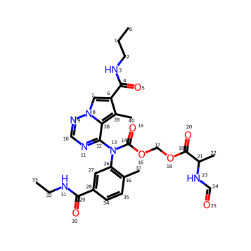 CCCNC(=O)c1cn2ncnc(N(C(=O)OCOC(=O)C(C)NC=O)c3cc(C(=O)NCC)ccc3C)c2c1C